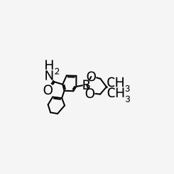 CC1(C)COB(c2ccc(C(N)=O)c(C3=CCCCC3)c2)OC1